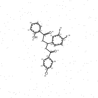 O=C(CC(CC(=O)c1ccccc1O)c1ccc(F)c(F)c1)c1ccc(Cl)cc1